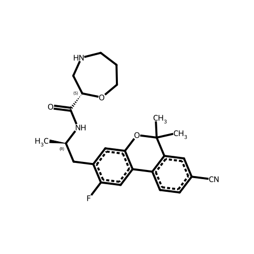 C[C@H](Cc1cc2c(cc1F)-c1ccc(C#N)cc1C(C)(C)O2)NC(=O)[C@@H]1CNCCCO1